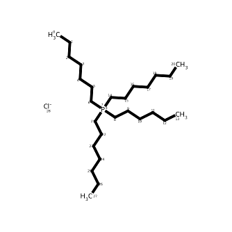 CCCCCCC[P+](CCCCCC)(CCCCCCC)CCCCCCC.[Cl-]